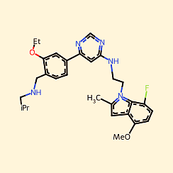 CCOc1cc(-c2cc(NCCn3c(C)cc4c(OC)ccc(F)c43)ncn2)ccc1CNCC(C)C